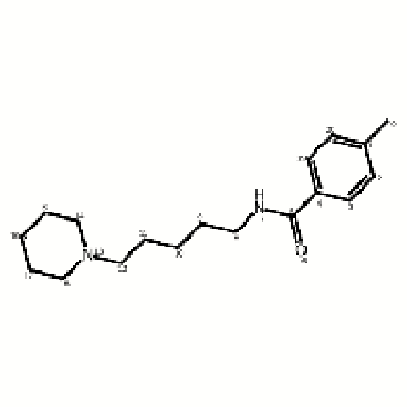 Cc1ccc(C(=O)NCCCCCN2CC[CH]CC2)cc1